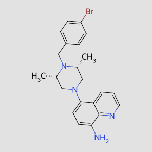 C[C@@H]1CN(c2ccc(N)c3ncccc23)C[C@H](C)N1Cc1ccc(Br)cc1